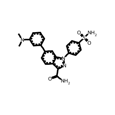 CN(C)c1cccc(-c2ccc3c(C(N)=O)nn(-c4ccc(S(N)(=O)=O)cc4)c3c2)c1